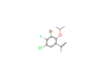 C=C(C)c1cc(Cl)c(F)c(Br)c1OC(C)C